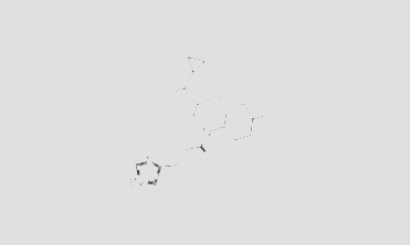 CC(C(O)C(O)C1CC1)N(C(=O)CCc1c[nH]cn1)C1CCC(O)CC1